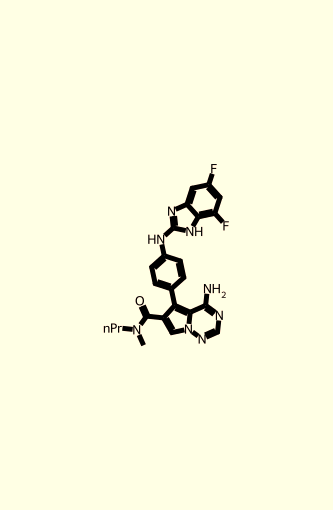 CCCN(C)C(=O)c1cn2ncnc(N)c2c1-c1ccc(Nc2nc3cc(F)cc(F)c3[nH]2)cc1